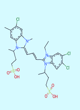 CCn1c(C=CC=C2N(C)c3cc(Cl)c(C)cc3N2C(C)CCS(=O)(=O)O)[n+](C(C)CCS(=O)(=O)O)c2cc(Cl)c(Cl)cc21